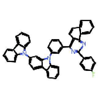 Fc1ccc(-c2nc(-c3cccc(-n4c5ccccc5c5ccc(-n6c7ccccc7c7ccccc76)cc54)c3)c3ccc4ccccc4c3n2)cc1